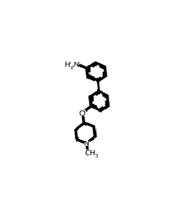 CN1CCC(Oc2cccc(-c3cccc(N)c3)c2)CC1